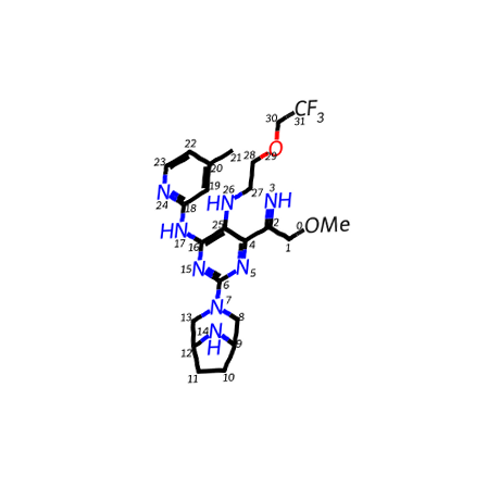 COCC(=N)c1nc(N2CC3CCC(C2)N3)nc(Nc2cc(C)ccn2)c1NCCOCC(F)(F)F